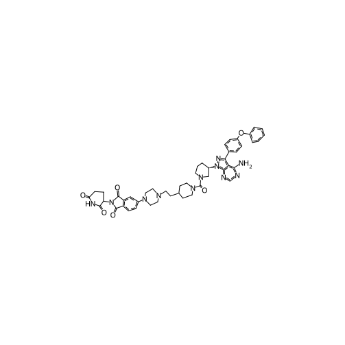 Nc1ncnc2c1c(-c1ccc(Oc3ccccc3)cc1)nn2[C@@H]1CCCN(C(=O)N2CCC(CCN3CCN(c4ccc5c(c4)C(=O)N(C4CCC(=O)NC4=O)C5=O)CC3)CC2)C1